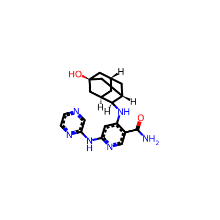 NC(=O)c1cnc(Nc2cnccn2)cc1N[C@H]1[C@@H]2C[C@H]3C[C@H]1C[C@@](O)(C3)C2